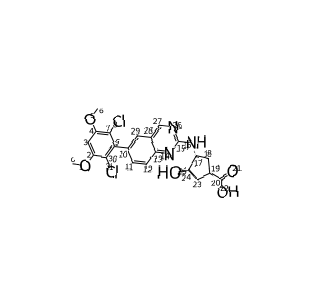 COc1cc(OC)c(Cl)c(-c2ccc3nc(N[C@@H]4CC(C(=O)O)C[C@H]4O)ncc3c2)c1Cl